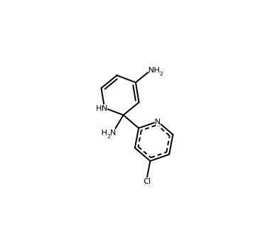 NC1=CC(N)(c2cc(Cl)ccn2)NC=C1